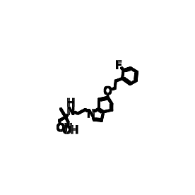 CC(CO)(CO)NCCn1ccc2ccc(OCCc3ccccc3F)cc21